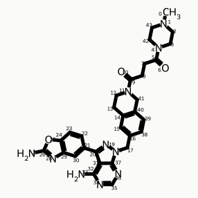 CN1CCN(C(=O)CCC(=O)N2CCc3cc(Cn4nc(-c5ccc6oc(N)nc6c5)c5c(N)ncnc54)ccc3C2)CC1